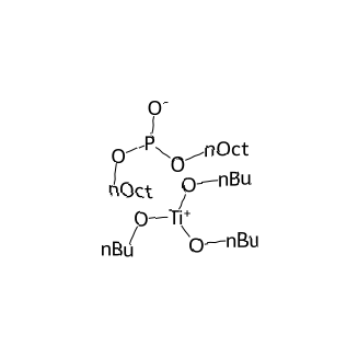 CCCCCCCCOP([O-])OCCCCCCCC.CCCC[O][Ti+]([O]CCCC)[O]CCCC